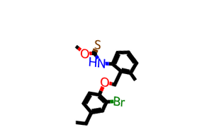 CCc1ccc(OCc2c(C)cccc2NC(=S)OC)c(Br)c1